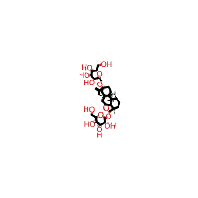 C=C1C[C@@]23CCC4[C@](C)(C(=O)O[C@@H]5OC(CO)[C@@H](O)[C@@H](O)C5O)CCC[C@@]4(C)[C@@H]2CC[C@]1(OC[C@@H]1OC(CO)[C@@H](O)[C@@H](O)C1O)C3